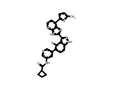 Cc1ccc(-c2ccnc3[nH]c(-c4n[nH]c5ccc(-c6cncc(NC(=O)C7CCC7)c6)c(F)c45)nc23)s1